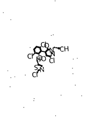 C#CCn1nc(Cl)c(O)c(-c2c(Cl)ccc(Cl)c2OCc2cnc(Cl)s2)c1=O